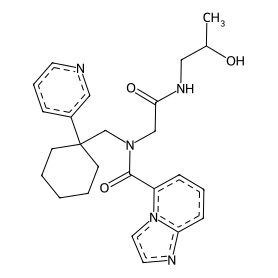 CC(O)CNC(=O)CN(CC1(c2cccnc2)CCCCC1)C(=O)c1cccc2nccn12